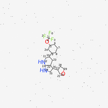 FC(F)(F)OC1CCCC(C2CNC3NCC(C4CCOC4)C3C2)C1